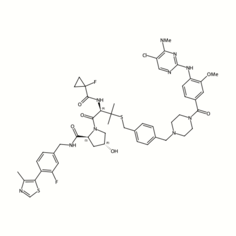 CNc1nc(Nc2ccc(C(=O)N3CCN(Cc4ccc(CSC(C)(C)[C@H](NC(=O)C5(F)CC5)C(=O)N5C[C@H](O)C[C@H]5C(=O)NCc5ccc(-c6scnc6C)c(F)c5)cc4)CC3)cc2OC)ncc1Cl